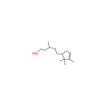 CC1=CCC(CCC(C)CCO)C1(C)C